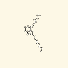 CCCCCCCCCCc1c(O)cccc1CCCCCCC